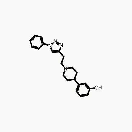 Oc1cccc(C2CCN(CCc3cn(-c4ccccc4)nn3)CC2)c1